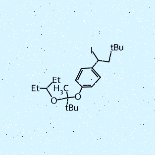 CCC(CC)OC(C)(Oc1ccc(C(I)CC(C)(C)C)cc1)C(C)(C)C